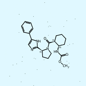 COC(=O)N[C@@H]1CCCC[C@@H]1C(=O)N1CCC[C@H]1c1ncc(-c2ccccc2)[nH]1